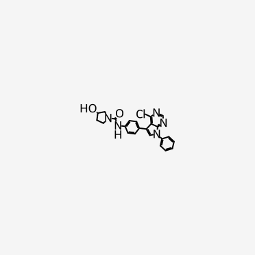 O=C(Nc1ccc(-c2cn(-c3ccccc3)c3ncnc(Cl)c23)cc1)N1CC[C@@H](O)C1